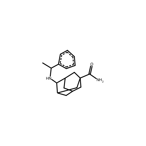 CC(NC1C2CC3CC1CC(C(N)=O)(C3)C2)c1ccccc1